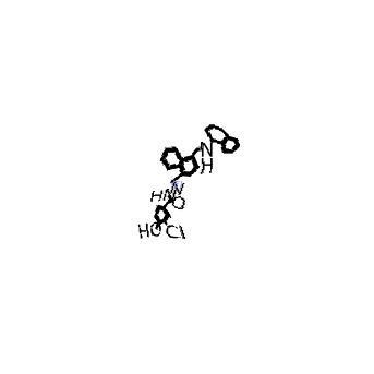 O=C(N/N=C/c1ccc(CNC2CCCc3ccccc32)c2ccccc12)c1ccc(O)c(Cl)c1